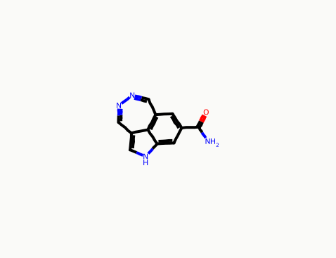 NC(=O)c1cc2c3c(c[nH]c3c1)C=NN=C2